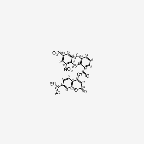 CCN(CC)c1ccc2c(OC(=O)c3cccc(C)c3Sc3ccc([N+](=O)[O-])cc3[N+](=O)[O-])cc(=O)oc2c1